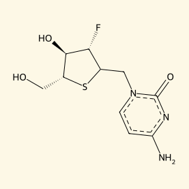 Nc1ccn(CC2S[C@H](CO)[C@@H](O)[C@@H]2F)c(=O)n1